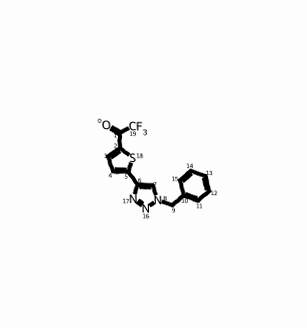 O=C(c1ccc(-c2cn(Cc3ccccc3)nn2)s1)C(F)(F)F